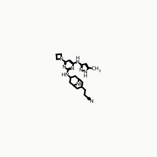 Cc1cc(Nc2cc(N3CCC3)nc(NC3CC4CC(CCC#N)CC(C3)N4)n2)n[nH]1